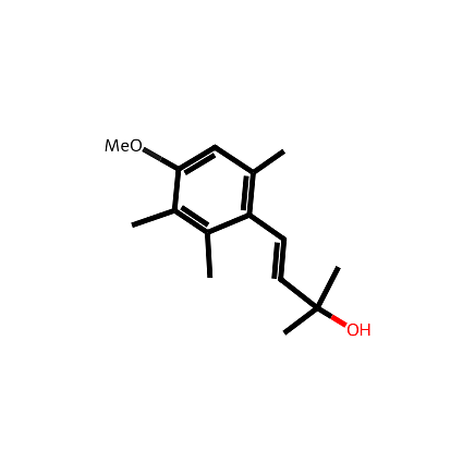 COc1cc(C)c(C=CC(C)(C)O)c(C)c1C